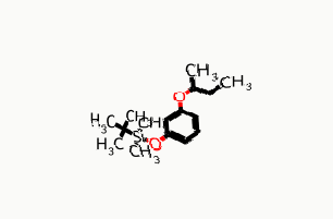 CCC(C)Oc1cccc(O[Si](C)(C)C(C)(C)C)c1